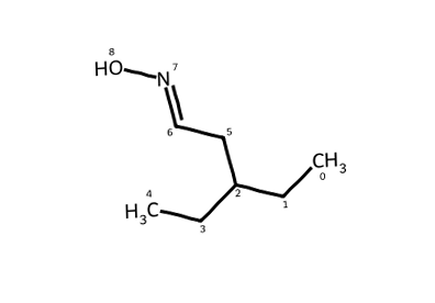 CCC(CC)CC=NO